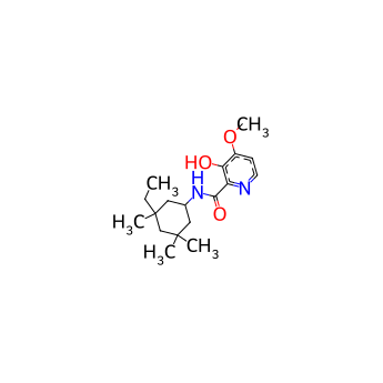 CCC1(C)CC(NC(=O)c2nccc(OC)c2O)CC(C)(C)C1